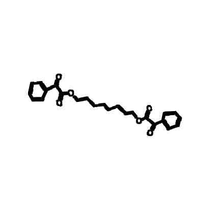 O=C(OCCCCCCCCOC(=O)C(=O)c1ccccc1)C(=O)c1ccccc1